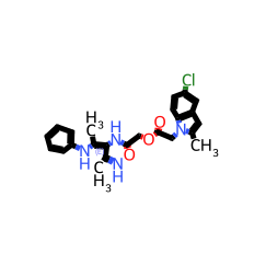 CC(=N)/C(NC(=O)COC(=O)Cn1c(C)cc2cc(Cl)ccc21)=C(/C)Nc1ccccc1